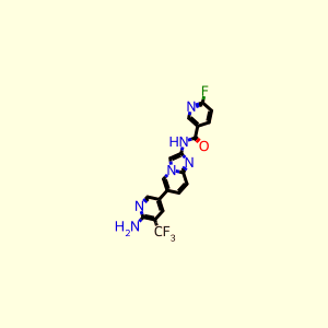 Nc1ncc(-c2ccc3nc(NC(=O)c4ccc(F)nc4)cn3c2)cc1C(F)(F)F